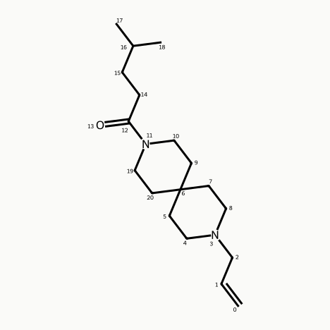 C=CCN1CCC2(CC1)CCN(C(=O)CCC(C)C)CC2